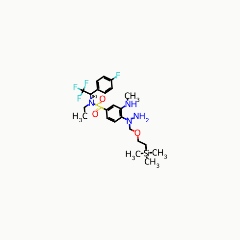 CCN([C@H](c1ccc(F)cc1)C(F)(F)F)S(=O)(=O)c1ccc(N(N)COCC[Si](C)(C)C)c(NC)c1